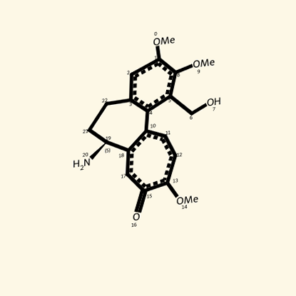 COc1cc2c(c(CO)c1OC)-c1ccc(OC)c(=O)cc1[C@@H](N)CC2